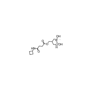 C[C@](O)(CO)CC(CO)COC(=O)CCC(=O)NC1CCC1